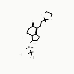 CC1(CCC2=C3CCC(O[Si](C)(C)C(C)(C)C)[C@@]3(C)CCC2=O)OCCO1